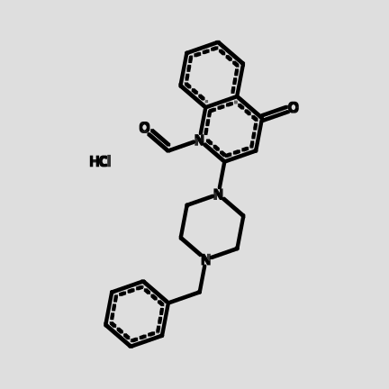 Cl.O=Cn1c(N2CCN(Cc3ccccc3)CC2)cc(=O)c2ccccc21